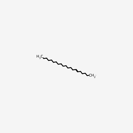 [CH2]CCCCC=CCCCCCCCCCCCCCC